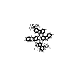 Cc1cc2c(cc1N1c3cc4c(cc3B3c5c1cc1sc6ccccc6c1c5-c1cccc5c6cc(C(C)(C)C)ccc6n3c15)Sc1ccccc1S4)C(C)(C)CCC2(C)C